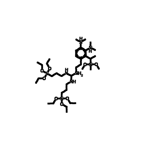 CCO[Si](CCCNC(NCCC[Si](OCC)(OCC)OCC)[SiH2]CCc1ccc([SiH](C)C)c([SiH](C)C)c1C(C)[Si](C)(OC)OC)(OCC)OCC